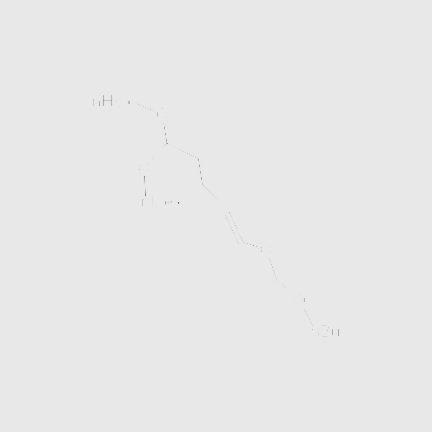 CCCCCCOC(CCC=COCOCCCC)OCCCCCC